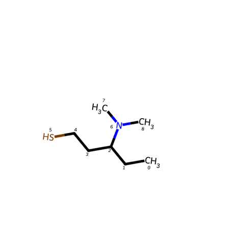 CCC(CCS)N(C)C